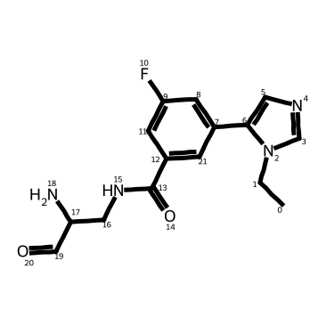 CCn1cncc1-c1cc(F)cc(C(=O)NCC(N)C=O)c1